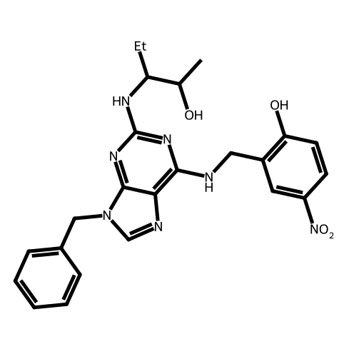 CCC(Nc1nc(NCc2cc([N+](=O)[O-])ccc2O)c2ncn(Cc3ccccc3)c2n1)C(C)O